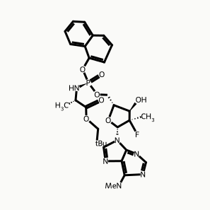 CNc1ncnc2c1ncn2[C@@H]1O[C@H](CO[P@](=O)(N[C@@H](C)C(=O)OCC(C)(C)C)Oc2cccc3ccccc23)[C@@H](O)[C@@]1(C)F